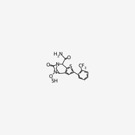 NC(=O)C1c2sc(-c3ccccc3C(F)(F)F)cc2C2CN1C(=O)N2OS